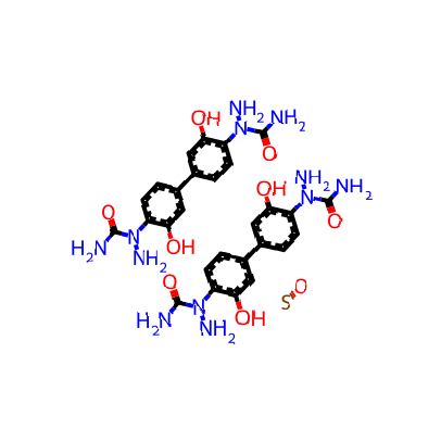 NC(=O)N(N)c1ccc(-c2ccc(N(N)C(N)=O)c(O)c2)cc1O.NC(=O)N(N)c1ccc(-c2ccc(N(N)C(N)=O)c(O)c2)cc1O.O=S